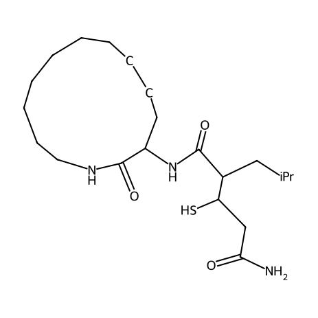 CC(C)CC(C(=O)NC1CCCCCCCCCCNC1=O)C(S)CC(N)=O